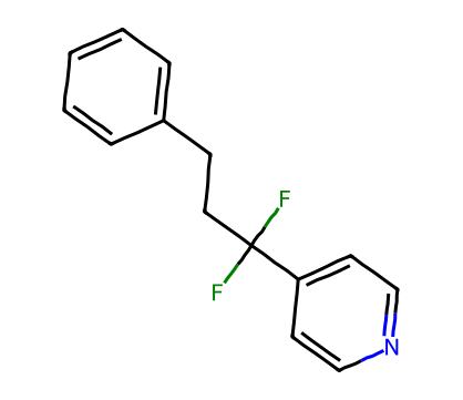 FC(F)(CCc1ccccc1)c1ccncc1